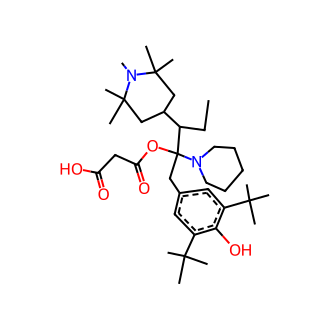 CCC(C1CC(C)(C)N(C)C(C)(C)C1)C(Cc1cc(C(C)(C)C)c(O)c(C(C)(C)C)c1)(OC(=O)CC(=O)O)N1CCCCC1